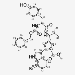 COC(=O)c1nc([C@@H](NC(=O)C(Cc2ccc(O)cc2)NC(=O)OCc2ccccc2)C(C)C)oc1-c1c[nH]c2c(Br)cccc12